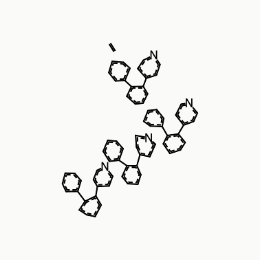 C=C.c1ccc(-c2ccccc2-c2ccncc2)cc1.c1ccc(-c2ccccc2-c2ccncc2)cc1.c1ccc(-c2ccccc2-c2ccncc2)cc1.c1ccc(-c2ccccc2-c2ccncc2)cc1